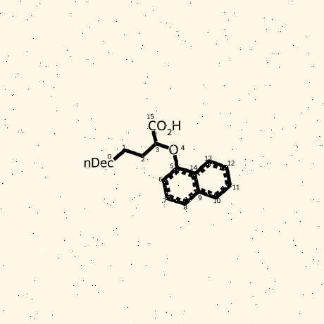 CCCCCCCCCCCCC(Oc1cccc2ccccc12)C(=O)O